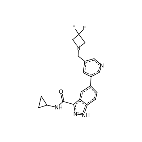 O=C(NC1CC1)c1n[nH]c2ccc(-c3cncc(CN4CC(F)(F)C4)c3)cc12